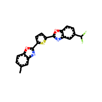 Cc1ccc2oc(-c3ccc(-c4nc5cc(C(F)F)ccc5o4)s3)nc2c1